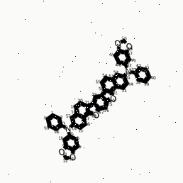 c1ccc(N(c2ccc3c(c2)OCO3)c2ccc3c(ccc4c5cc6c(cc5oc34)oc3c4ccc(N(c5ccccc5)c5ccc7c(c5)OCO7)cc4ccc63)c2)cc1